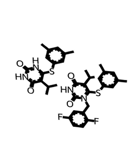 Cc1cc(C)cc(Sc2[nH]c(=O)[nH]c(=O)c2C(C)C)c1.Cc1cc(C)cc(Sc2c(C(C)C)c(=O)[nH]c(=O)n2Cc2cc(F)ccc2F)c1